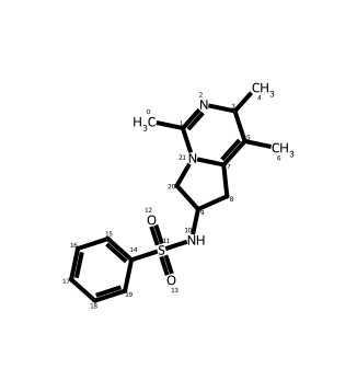 CC1=NC(C)C(C)=C2CC(NS(=O)(=O)c3ccccc3)CN12